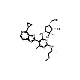 COC[C@@H](C)Nc1nc(C)c(-c2nc3c(C4CC4)nccc3s2)c(N[C@@H]2C[C@H](CO)[C@@H](O)[C@@]2(C)O)n1